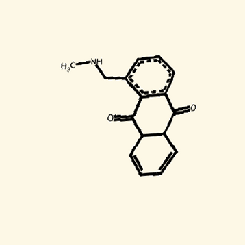 CNCc1cccc2c1C(=O)C1C=CC=CC1C2=O